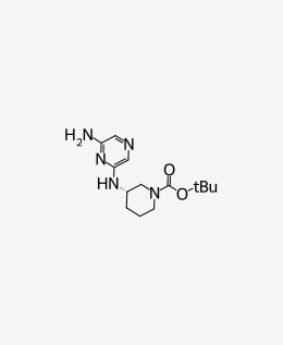 CC(C)(C)OC(=O)N1CCC[C@H](Nc2cncc(N)n2)C1